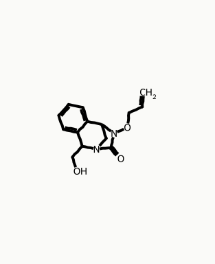 C=CCON1C(=O)N2CC1c1ccccc1C2CO